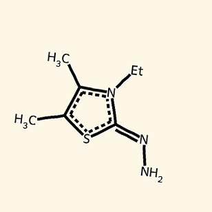 CCn1c(C)c(C)sc1=NN